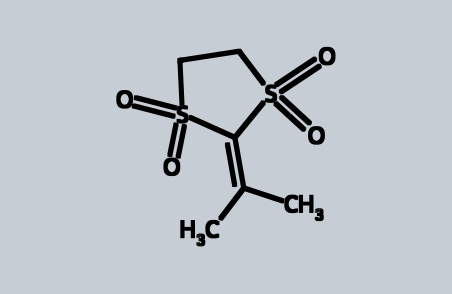 CC(C)=C1S(=O)(=O)CCS1(=O)=O